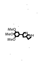 COc1cc(-c2cnc3[nH]ccc3c2)cc(OC)c1OC